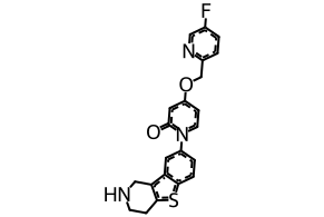 O=c1cc(OCc2ccc(F)cn2)ccn1-c1ccc2sc3c(c2c1)CNCC3